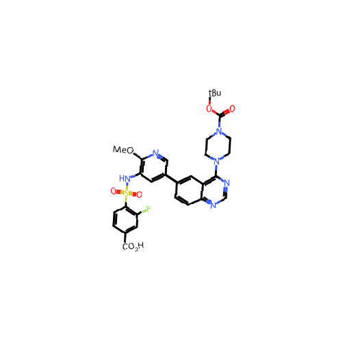 COc1ncc(-c2ccc3ncnc(N4CCN(C(=O)OC(C)(C)C)CC4)c3c2)cc1NS(=O)(=O)c1ccc(C(=O)O)cc1F